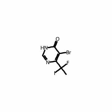 CC(F)(I)c1nc[nH]c(=O)c1Br